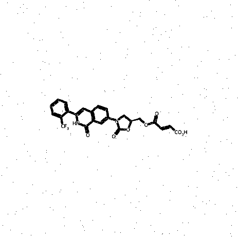 O=C(O)C=CC(=O)OC[C@@H]1CN(c2ccc3cc(-c4ccccc4C(F)(F)F)[nH]c(=O)c3c2)C(=O)O1